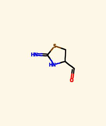 N=C1NC(C=O)CS1